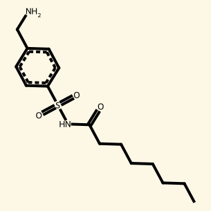 CCCCCCCC(=O)NS(=O)(=O)c1ccc(CN)cc1